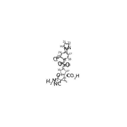 N#CC1(C(N)=O)CC1[C@@]1(C(=O)O)CC[C@H](S(=O)(=O)c2ccc(-n3cccn3)cc2Cl)C1